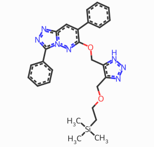 C[Si](C)(C)CCOCc1nn[nH]c1COc1nn2c(-c3ccccc3)nnc2cc1-c1ccccc1